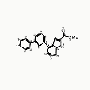 COC(=O)c1cc2c(-c3cccc(-c4ccccc4)c3)cncc2o1